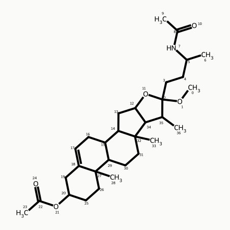 COC1(CCC(C)NC(C)=O)OC2CC3C4CC=C5CC(OC(C)=O)CCC5(C)C4CCC3(C)C2C1C